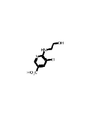 O=C(O)c1cnc(NCCO)c(Cl)c1